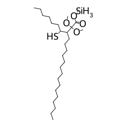 CCCCCCCCCCCCCCCC(C(S)CCCCCC)C(OC)(OC)C(=O)O[SiH3]